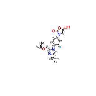 CC1[C@H](O)OC(=O)N1c1ccc(-n2cc(C(C)(C)C)nc2CO[SiH](C)C)c(F)c1